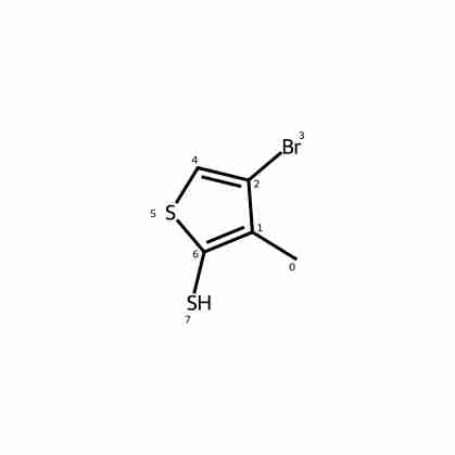 Cc1c(Br)csc1S